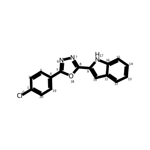 Clc1ccc(-c2nnc(-c3cc4ccccc4[nH]3)o2)cc1